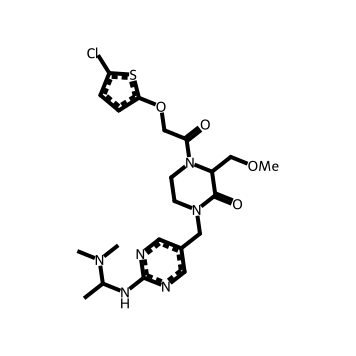 COCC1C(=O)N(Cc2cnc(NC(C)N(C)C)nc2)CCN1C(=O)COc1ccc(Cl)s1